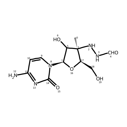 C[C@@]1(NNC=O)C(O)[C@H](n2ccc(N)nc2=O)O[C@@H]1CO